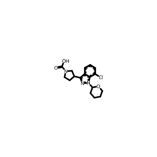 O=C(O)N1CCC(c2nn(C3CCCCO3)c3c(Cl)cccc23)C1